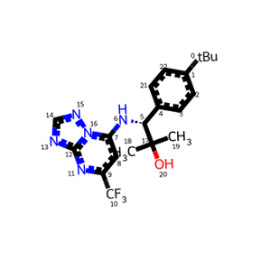 CC(C)(C)c1ccc([C@@H](Nc2cc(C(F)(F)F)nc3ncnn23)C(C)(C)O)cc1